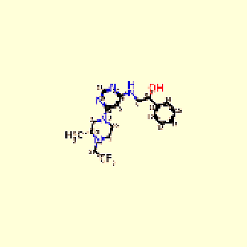 C[C@@H]1CN(c2cc(NCC(O)c3ccccc3)ncn2)CCN1CC(F)(F)F